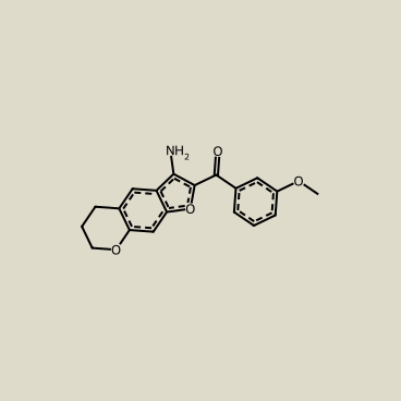 COc1cccc(C(=O)c2oc3cc4c(cc3c2N)CCCO4)c1